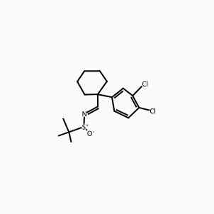 CC(C)(C)[S+]([O-])/N=C/C1(c2ccc(Cl)c(Cl)c2)CCCCC1